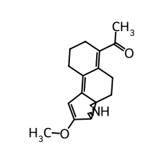 COC1=CC2=C3CCCC(C(C)=O)=C3CCC23CNC=C13